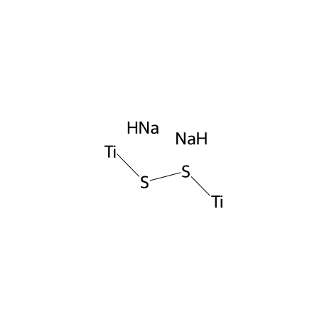 [NaH].[NaH].[Ti][S][S][Ti]